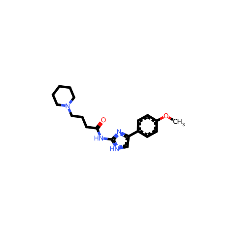 COc1ccc(-c2c[nH]c(NC(=O)CCCN3CCCCC3)n2)cc1